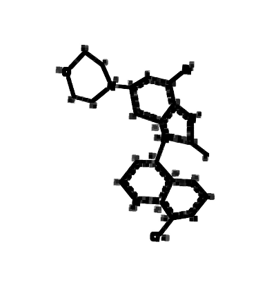 Cc1nc2c(Br)cc(N3CCOCC3)cc2n1-c1ccnc2c(Cl)cccc12